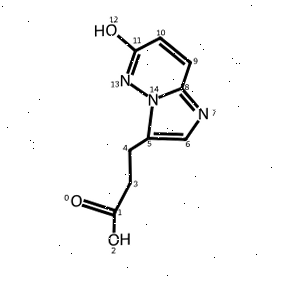 O=C(O)CCc1cnc2ccc(O)nn12